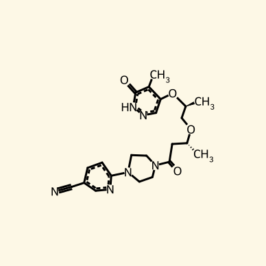 Cc1c(O[C@@H](C)CO[C@H](C)CC(=O)N2CCN(c3ccc(C#N)cn3)CC2)cn[nH]c1=O